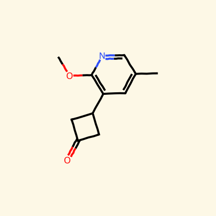 COc1ncc(C)cc1C1CC(=O)C1